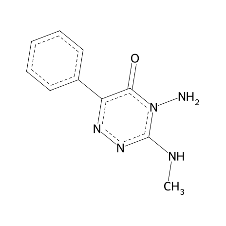 CNc1nnc(-c2ccccc2)c(=O)n1N